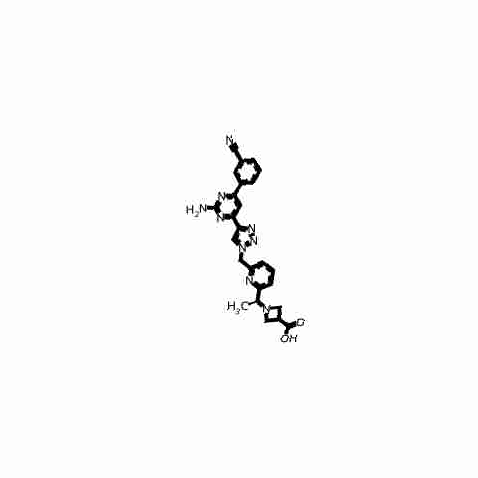 C[C@@H](c1cccc(Cn2cc(-c3cc(-c4cccc(C#N)c4)nc(N)n3)nn2)n1)N1CC(C(=O)O)C1